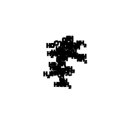 CCCC[C@H](NC(=O)[C@H](CCCNC(=N)N)NC(=O)[C@H](CCN)NC(=O)[C@H](CS)NC(=O)[C@H](CCCCN)NC(=O)[C@@H](CCN)NC(=O)[C@@H](NC(=O)[C@H](CCCNC(=N)N)NC(=O)[C@H](CCCNC(=N)N)NC(=O)[C@H](CC(N)=O)NC(=O)[C@@H](NC(=O)[C@@H](N)Cc1ccc(O)cc1)C(C)(C)S)[C@@H](C)O)C(=O)O